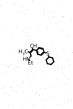 CCNCC(C)=C(C)c1ccc(SC2CCCCC2)cc1